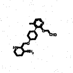 Cc1ccnc(OCC=O)c1[C@H]1CC[C@@H](OCC2NCCCC2N)CC1